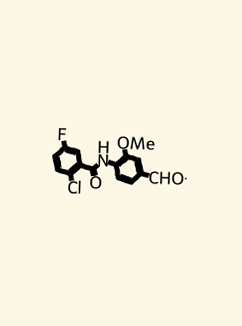 COc1cc([C]=O)ccc1NC(=O)c1cc(F)ccc1Cl